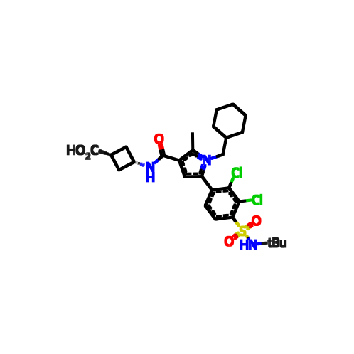 Cc1c(C(=O)N[C@H]2C[C@H](C(=O)O)C2)cc(-c2ccc(S(=O)(=O)NC(C)(C)C)c(Cl)c2Cl)n1CC1CCCCC1